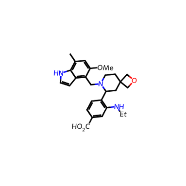 CCNc1cc(C(=O)O)ccc1C1CC2(CCN1Cc1c(OC)cc(C)c3[nH]ccc13)COC2